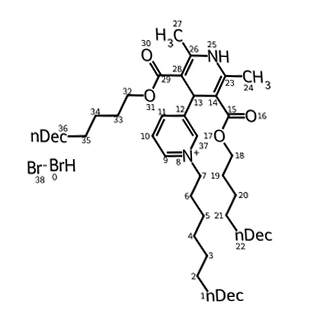 Br.CCCCCCCCCCCCCCCC[n+]1cccc(C2C(C(=O)OCCCCCCCCCCCCCC)=C(C)NC(C)=C2C(=O)OCCCCCCCCCCCCCC)c1.[Br-]